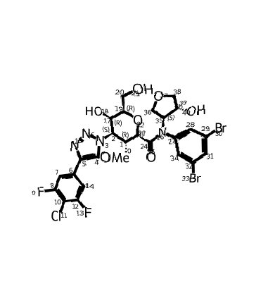 CO[C@@H]1[C@@H](n2cc(-c3cc(F)c(Cl)c(F)c3)nn2)[C@@H](O)[C@@H](CO)O[C@H]1C(=O)N(c1cc(Br)cc(Br)c1)[C@H]1COC[C@@H]1O